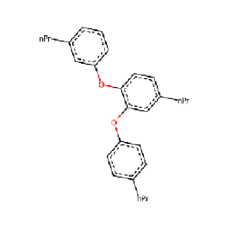 CCCc1ccc(Oc2cc(CCC)ccc2Oc2cccc(CCC)c2)cc1